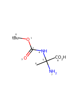 CC(C)(C)OC(=O)NC(C)(N)C(=O)O